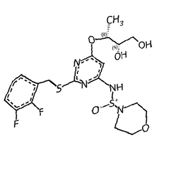 C[C@@H](Oc1cc(N[S+]([O-])N2CCOCC2)nc(SCc2cccc(F)c2F)n1)[C@@H](O)CO